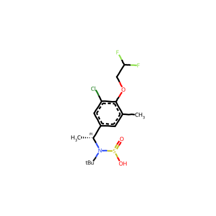 Cc1cc([C@@H](C)N(S(=O)O)C(C)(C)C)cc(Cl)c1OCC(F)F